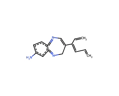 C=C/C=C(\C=C)C1=CN=c2ccc(N)cc2=NC1